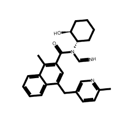 Cc1ccc(Cc2cc(C(=O)N(C=N)[C@H]3CCCC[C@@H]3O)c(C)c3ccccc23)cn1